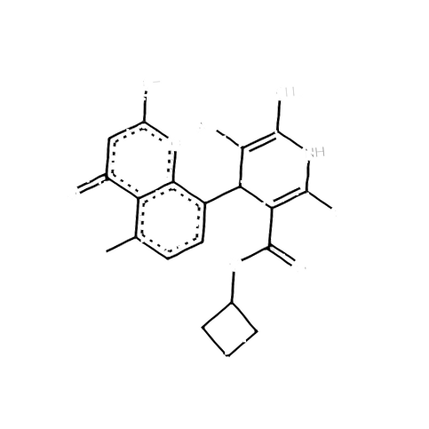 CC(=O)C1=C(C)NC(C)=C(C(=O)OC2CCC2)C1c1ccc(F)c2c(=O)cc(C)oc12